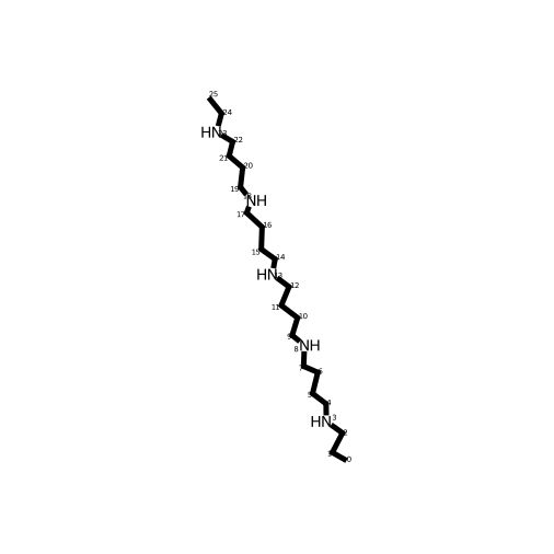 CCCNCCCCNCCCCNCCCCNCCCCNCC